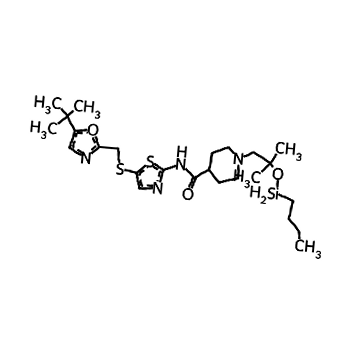 CCCC[SiH2]OC(C)(C)CN1CCC(C(=O)Nc2ncc(SCc3ncc(C(C)(C)C)o3)s2)CC1